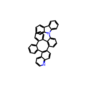 c1ccc2c(c1)-c1ccccc1-c1c(ccc3ncccc13)-c1cccc(-n3c4ccccc4c4ccccc43)c1-2